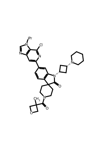 CC(C)n1cnc2cc(-c3ccc4c(c3)N([C@H]3C[C@@H](N5CCCCC5)C3)C(=O)C43CCN(C(=O)C4(C)COC4)CC3)nc(Cl)c21